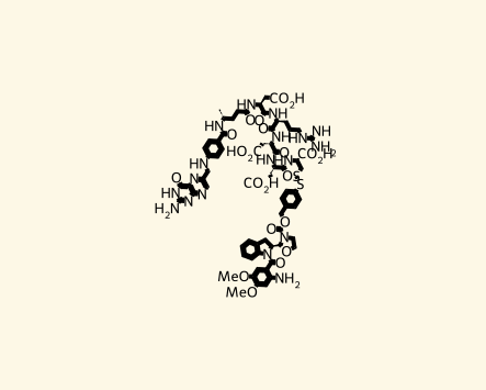 COc1cc(N)c(C(=O)N2c3ccccc3C[C@H]2C2OCCN2C(=O)OCc2ccc(SSC[C@H](NC(=O)[C@H](CC(=O)O)NC(=O)[C@H](CC(=O)O)NC(=O)[C@H](CCCNC(=N)N)NC(=O)[C@H](CC(=O)O)NC(=O)CC[C@@H](C)NC(=O)c3ccc(NCc4cnc5nc(N)[nH]c(=O)c5n4)cc3)C(=O)O)cc2)cc1OC